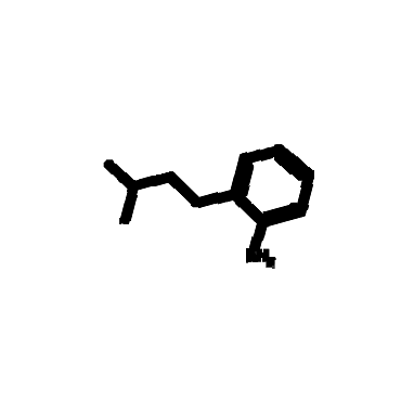 C[C](C)CCc1ccccc1N